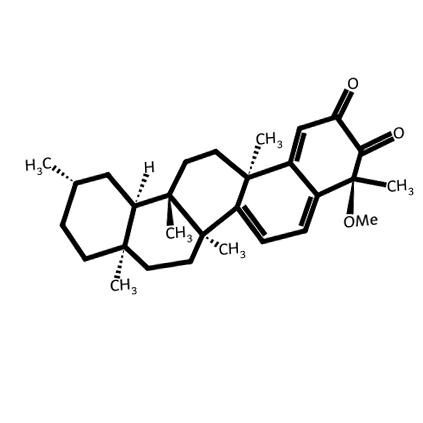 CO[C@]1(C)C(=O)C(=O)C=C2C1=CC=C1[C@@]2(C)CC[C@@]2(C)[C@@H]3C[C@@H](C)CC[C@]3(C)CC[C@]12C